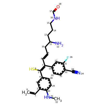 C=Cc1cc(/C(S)=C(/C=C/CC(N)CCCNC=O)c2ccc(C#N)c(F)c2)ccc1NC